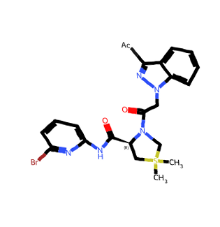 CC(=O)c1nn(CC(=O)N2CS(C)(C)C[C@H]2C(=O)Nc2cccc(Br)n2)c2ccccc12